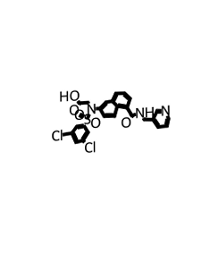 O=C(O)CN(c1ccc2c(C(=O)NCc3cccnc3)cccc2c1)S(=O)(=O)c1cc(Cl)cc(Cl)c1